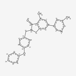 Cc1cncc(-c2cc(C)c3c(c2)CN(Cc2ccc(Oc4ccccc4)cc2)C3=O)c1